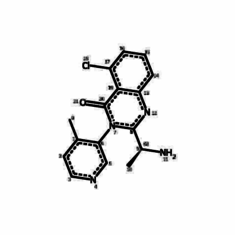 Cc1ccncc1-n1c([C@H](C)N)nc2cccc(Cl)c2c1=O